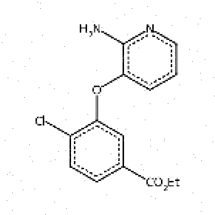 CCOC(=O)c1ccc(Cl)c(Oc2cccnc2N)c1